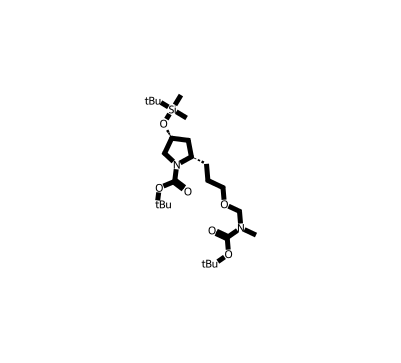 CN(COCCC[C@H]1C[C@@H](O[Si](C)(C)C(C)(C)C)CN1C(=O)OC(C)(C)C)C(=O)OC(C)(C)C